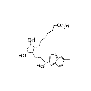 Cc1ccc2cc(C(O)CCC3[C@H](O)C[C@H](O)[C@@H]3CCCCCCC(=O)O)ccc2c1